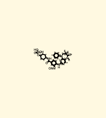 COc1cc(C(=O)NC2CCC(OP(=O)(O)O)CC2)ccc1Nc1ncc2c(n1)N(c1ccccc1)CC(F)(F)C(=O)N2C